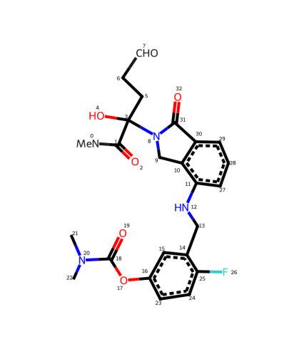 CNC(=O)C(O)(CCC=O)N1Cc2c(NCc3cc(OC(=O)N(C)C)ccc3F)cccc2C1=O